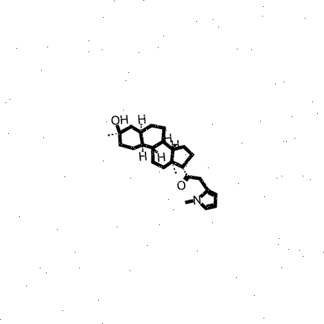 Cn1cccc1CC(=O)[C@H]1CC[C@H]2[C@@H]3CC[C@@H]4C[C@](C)(O)CC[C@@H]4[C@H]3CC[C@]12C